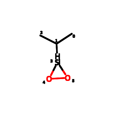 CC(C)[SiH]1OO1